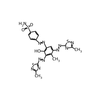 Cc1nsc(/N=N/c2cc(/N=N/c3ccc(S(N)(=O)=O)cc3)c(O)c(/N=N/c3nc(C)ns3)c2C)n1